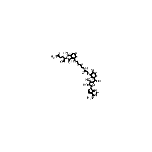 NC(=O)CCC(C=O)N1C(=O)c2c(NCCCCNC(=O)COc3cc([C@@H](O)[C@H]4O[C@@H](n5ccc6c(N)ncnc65)[C@H](O)[C@@H]4O)ccc3Cl)cccc2C1O